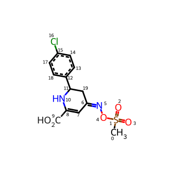 CS(=O)(=O)ON=C1C=C(C(=O)O)NC(c2ccc(Cl)cc2)C1